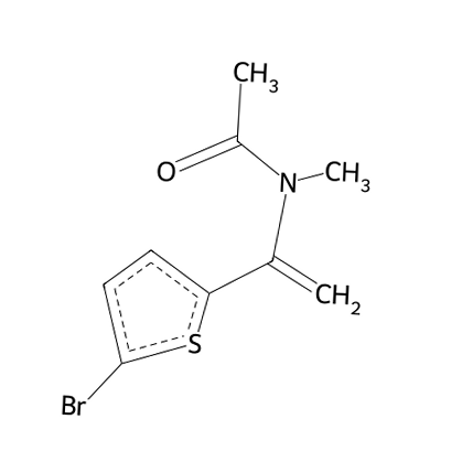 C=C(c1ccc(Br)s1)N(C)C(C)=O